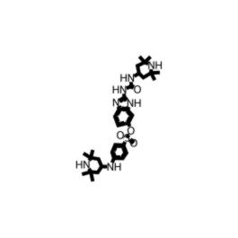 CC1(C)CC(NC(=O)Nc2nc3ccc(OS(=O)(=O)c4ccc(NC5CC(C)(C)NC(C)(C)C5)cc4)cc3[nH]2)CC(C)(C)N1